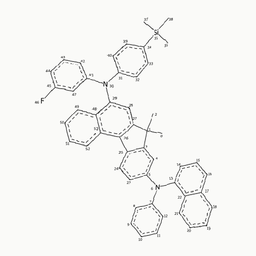 CC1(C)c2cc(N(c3ccccc3)c3cccc4ccccc34)ccc2-c2c1cc(N(c1ccc([Si](C)(C)C)cc1)c1cccc(F)c1)c1ccccc21